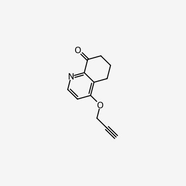 C#CCOc1ccnc2c1CCCC2=O